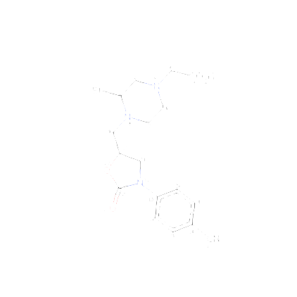 CCC1CN(CC(=O)O)CCN1CC1CN(c2ccc(C#N)cc2)C(=O)O1